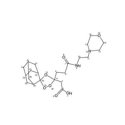 O=C(O)CC1(CCC(=O)NCCN2CCOCC2)OOC2(O1)C1CC3CC(C1)CC2C3